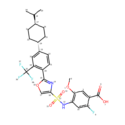 COc1cc(C(=O)O)c(F)cc1NS(=O)(=O)c1coc(-c2ccc([C@H]3CC[C@H](C(C)C)CC3)cc2C(F)(F)F)n1